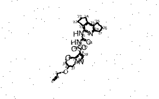 C#CCOC1COc2c(S(=O)(=O)NC(=O)Nc3nc4c(c5c3CCC5)CCC4)cnn2C1